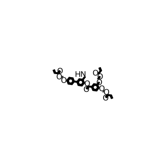 C=CC(=O)OCOc1ccc(-c2ccc(OC(=O)c3ccc(OCOC(=O)C=C)c(OCOC(=O)C=C)c3)c(C=N)c2)cc1